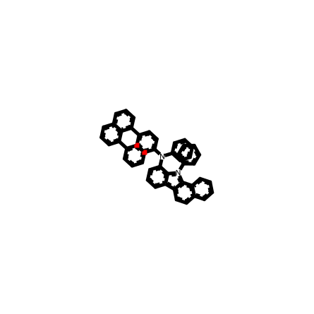 c1ccc(-c2cccc3cccc(-c4ccc(N(c5ccccc5)c5cccc6c7ccc8ccccc8c7n(-c7ccccc7)c56)cc4)c23)cc1